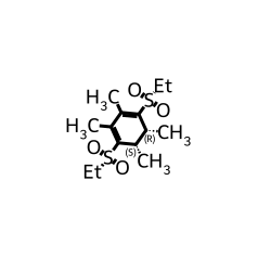 CCS(=O)(=O)C1=C(C)C(C)=C(S(=O)(=O)CC)[C@H](C)[C@@H]1C